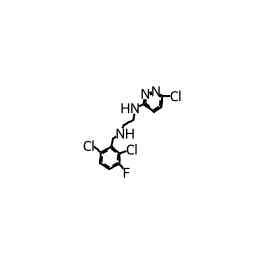 Fc1ccc(Cl)c(CNCCNc2ccc(Cl)nn2)c1Cl